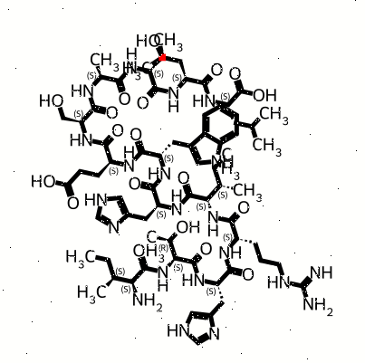 CC[C@H](C)[C@H](N)C(=O)N[C@H](C(=O)N[C@@H](Cc1c[nH]cn1)C(=O)N[C@@H](CCCNC(=N)N)C(=O)N[C@H](C(=O)N[C@@H](Cc1c[nH]cn1)C(=O)N[C@@H](Cc1c[nH]c2ccccc12)C(=O)N[C@@H](CCC(=O)O)C(=O)N[C@@H](CO)C(=O)N[C@@H](C)C(=O)N[C@@H](CO)C(=O)N[C@@H](CC(C)C)C(=O)N[C@@H](CC(C)C)C(=O)O)[C@@H](C)CC)[C@@H](C)O